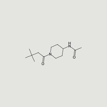 CC(=O)NC1CCN(C(=O)CC(C)(C)C)CC1